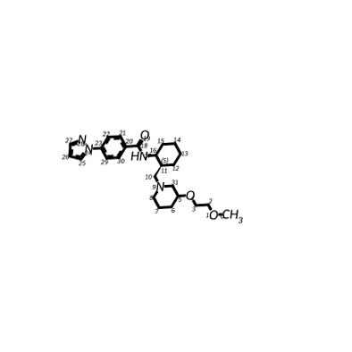 COCCOC1CCCN(C[C@@H]2CCCCC2NC(=O)c2ccc(-n3cccn3)cc2)C1